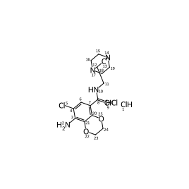 Cl.Cl.Nc1c(Cl)cc(C(=O)NCC2CN3CCN2CC3)c2c1OCCO2